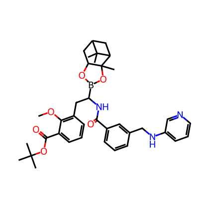 COc1c(CC(NC(=O)c2cccc(CNc3cccnc3)c2)B2OC3CC4CC(C4(C)C)C3(C)O2)cccc1C(=O)OC(C)(C)C